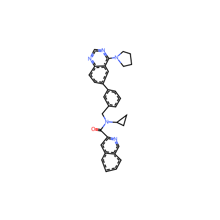 O=C(c1cc2ccccc2cn1)N(Cc1cccc(-c2ccc3ncnc(N4CCCC4)c3c2)c1)C1CC1